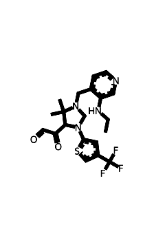 CCNc1cnccc1CN1CN(c2cc(C(F)(F)F)cs2)C(C(=O)C=O)C1(C)C